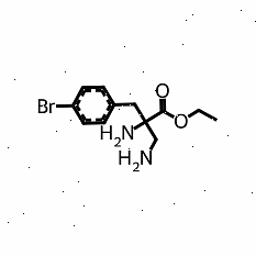 CCOC(=O)C(N)(CN)Cc1ccc(Br)cc1